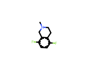 CN1CCc2c(F)ccc(F)c2C1